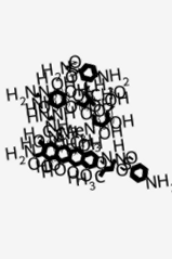 CN(C)[C@@H]1C(O)=C(C(N)=O)C(=O)[C@@]2(O)C(O)=C3C(=O)c4c(O)cccc4[C@@](C)(O)[C@H]3C[C@@H]12.CN[C@@H]1[C@H](O[C@H]2[C@H](O[C@H]3[C@H](O)[C@@H](O)[C@H](NC(=N)N)[C@@H](O)[C@@H]3NC(=N)N)O[C@@H](C)[C@]2(O)C=O)O[C@@H](CO)[C@H](O)[C@H]1O.Cc1cc(NS(=O)(=O)c2ccc(N)cc2)no1.Nc1ccc(S(N)(=O)=O)cc1